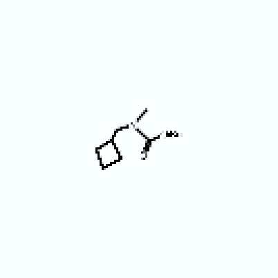 CC(C)COC(=O)N(C)CC1CCC1